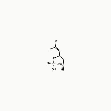 C#CCC(C=C(F)F)OP(=O)(O)O